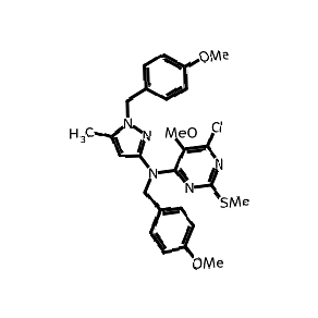 COc1ccc(CN(c2cc(C)n(Cc3ccc(OC)cc3)n2)c2nc(SC)nc(Cl)c2OC)cc1